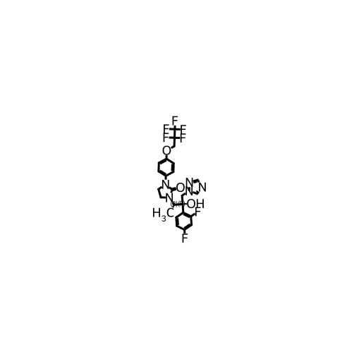 C[C@@H](N1CCN(c2ccc(OCC(F)(F)C(F)(F)F)cc2)C1=O)[C@](O)(Cn1cncn1)c1ccc(F)cc1F